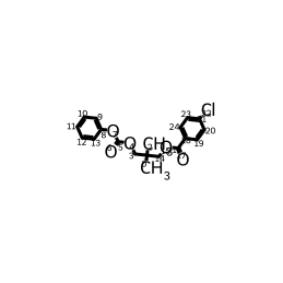 CC(C)(COC(=O)Oc1ccccc1)COC(=O)c1ccc(Cl)cc1